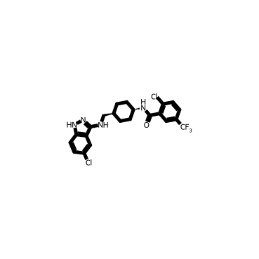 O=C(N[C@H]1CC[C@H](CNc2n[nH]c3ccc(Cl)cc23)CC1)c1cc(C(F)(F)F)ccc1Cl